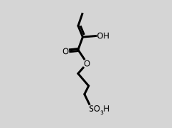 CC=C(O)C(=O)OCCCS(=O)(=O)O